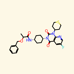 CC(OCc1ccccc1)C(=O)N[C@H]1CC[C@@H](n2c(=O)c3cc(F)cnc3n(C3CCSCC3)c2=O)CC1